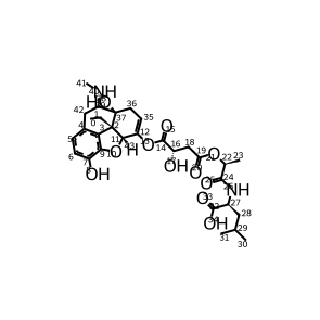 CC[C@]12c3c4ccc(O)c3O[C@H]1C(OC(=O)[C@@H](O)CC(=O)O[C@@H](C)C(=O)N[C@@H](CC(C)C)C(=O)O)=CC[C@@]2(O)[C@H](NC)C4